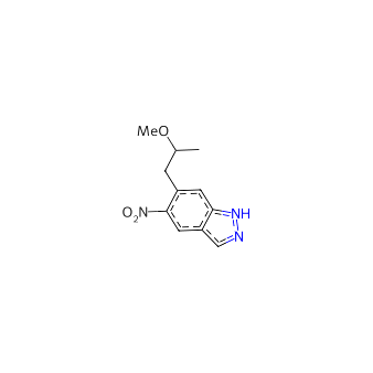 COC(C)Cc1cc2[nH]ncc2cc1[N+](=O)[O-]